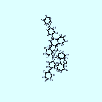 c1ccc(-c2ccc(-c3cc4c5cccc(N(c6ccc(-c7ccccc7)cc6)c6cccc7oc8ccccc8c67)c5oc4c4ccccc34)cc2)cc1